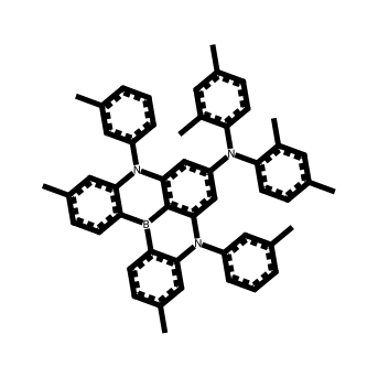 Cc1cccc(N2c3cc(C)ccc3B3c4ccc(C)cc4N(c4cccc(C)c4)c4cc(N(c5ccc(C)cc5C)c5ccc(C)cc5C)cc2c43)c1